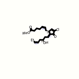 CC/C=C\C[C@H](O)C/C=C1/C(=O)C(Cl)=C[C@@H]1C/C=C\CCCC(=O)OC